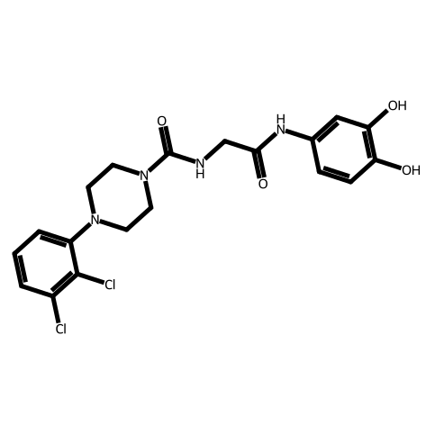 O=C(CNC(=O)N1CCN(c2cccc(Cl)c2Cl)CC1)Nc1ccc(O)c(O)c1